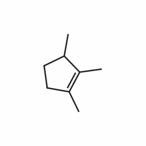 CC1=C(C)C(C)CC1